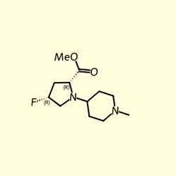 COC(=O)[C@H]1C[C@@H](F)CN1C1CCN(C)CC1